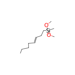 CCCCC=CCC[Si](C)(OC)OC